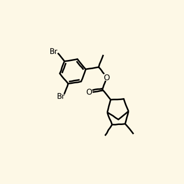 CC(OC(=O)C1CC2CC1C(C)C2C)c1cc(Br)cc(Br)c1